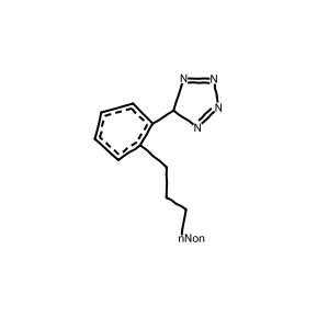 CCCCCCCCCCCCc1ccccc1C1N=NN=N1